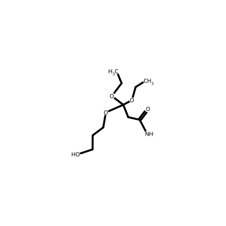 CCOC(CC([NH])=O)(OCC)OCCCO